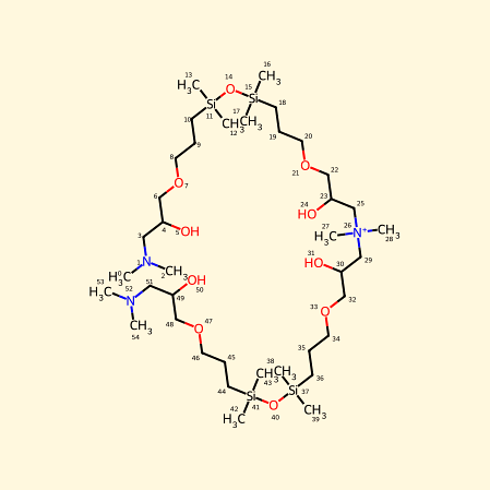 CN(C)CC(O)COCCC[Si](C)(C)O[Si](C)(C)CCCOCC(O)C[N+](C)(C)CC(O)COCCC[Si](C)(C)O[Si](C)(C)CCCOCC(O)CN(C)C